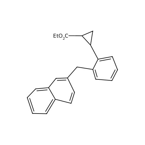 CCOC(=O)C1CC1c1ccccc1Cc1ccc2ccccc2c1